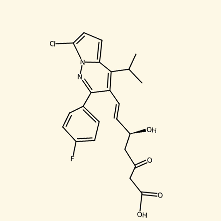 CC(C)c1c(C=C[C@@H](O)CC(=O)CC(=O)O)c(-c2ccc(F)cc2)nn2c(Cl)ccc12